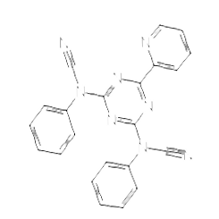 N#CN(c1ccccc1)c1nc(-c2ccccn2)nc(N(C#N)c2ccccc2)n1